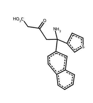 NC(CC(=O)CC(=O)O)(c1ccsc1)c1ccc2ccccc2c1